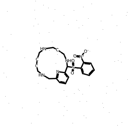 O=[N+]([O-])c1ccccc1S(=O)(=O)C1NCCCNCCCCNCc2cccc1n2